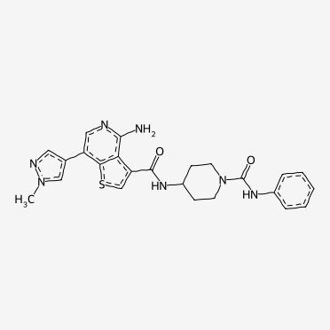 Cn1cc(-c2cnc(N)c3c(C(=O)NC4CCN(C(=O)Nc5ccccc5)CC4)csc23)cn1